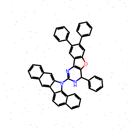 c1ccc(-c2cc3oc4c(c3cc2-c2ccccc2)N=C(n2c3cc5ccccc5cc3c3ccc5ccccc5c32)NC4c2ccccc2)cc1